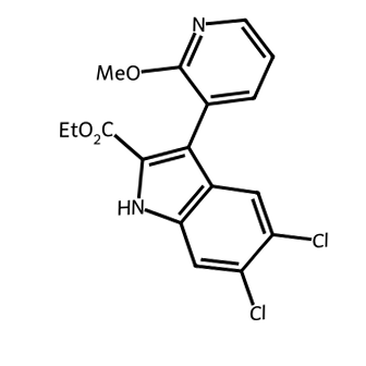 CCOC(=O)c1[nH]c2cc(Cl)c(Cl)cc2c1-c1cccnc1OC